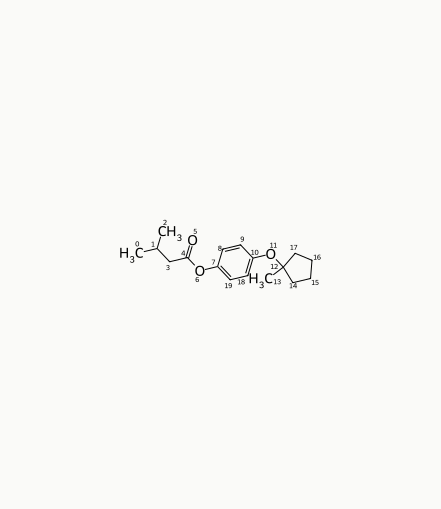 CC(C)CC(=O)Oc1ccc(OC2(C)CCCC2)cc1